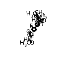 CC(=O)NC[C@H]1CN(c2ccc(-c3ccc([C@@]4(NC(=O)OC(C)(C)C)[C@@H]5COC[C@@H]54)nc3)c(F)c2)C(=O)O1